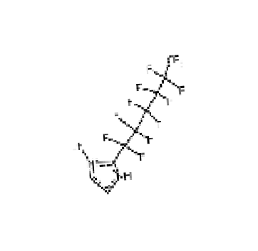 CC[n+]1cc[nH]c1C(F)(F)C(F)(F)C(F)(F)C(F)(F)C(F)(F)C(F)(F)F